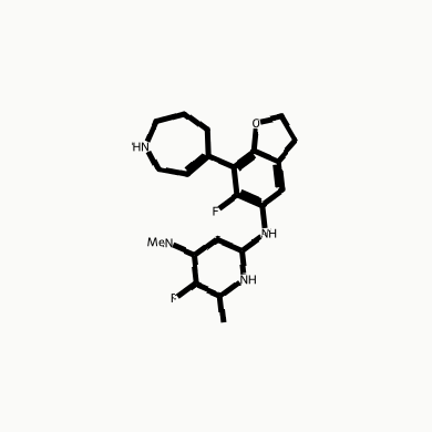 CNC1CC(Nc2cc3c(c(C4=CCNCCC4)c2F)OCC3)NC(C)C1F